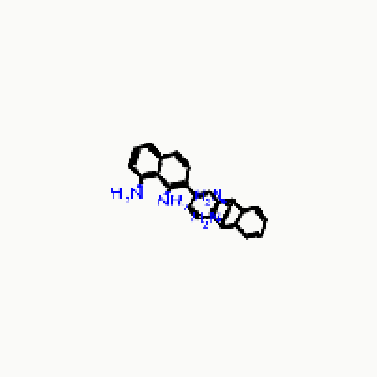 Nc1cccc2ccc(-c3ccc4c(c3)C3C(N)C(N)C4C4C=CC=CC43)c(N)c12